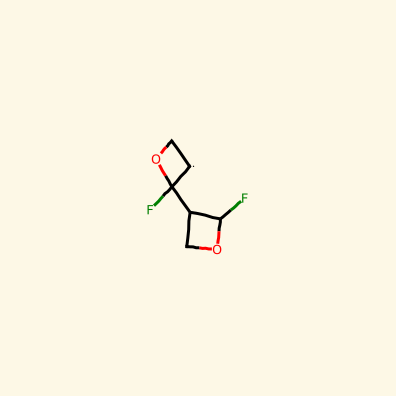 FC1OCC1C1(F)[CH]CO1